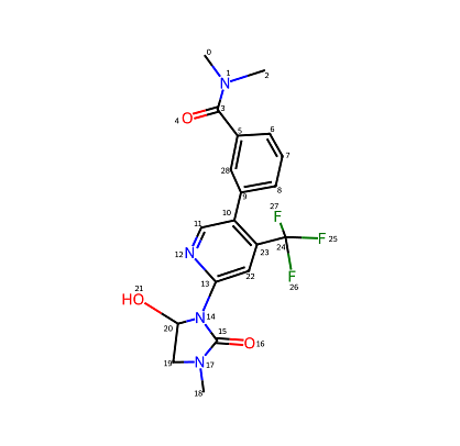 CN(C)C(=O)c1cccc(-c2cnc(N3C(=O)N(C)CC3O)cc2C(F)(F)F)c1